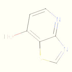 Oc1ccnc2ncsc12